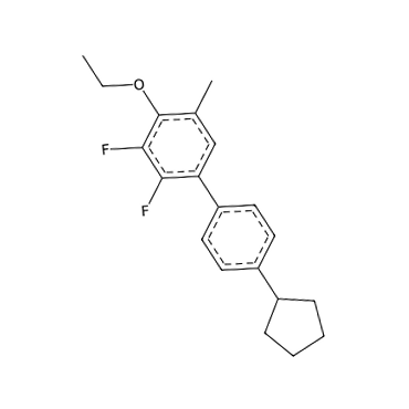 CCOc1c(C)cc(-c2ccc(C3CCCC3)cc2)c(F)c1F